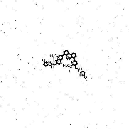 COc1nc(-c2cccc(-c3cccc(-c4cc(C)n5c(=O)c(CNC[C@H]6CCC(=O)N6)cnc5c4)c3Cl)c2Cl)ccc1CNC[C@@H]1CCC(=O)N1